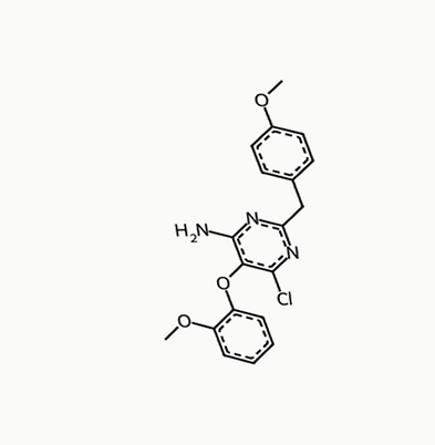 COc1ccc(Cc2nc(N)c(Oc3ccccc3OC)c(Cl)n2)cc1